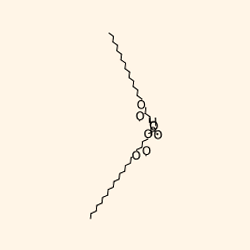 CCCCCCCCCCCCCCCCOCC(CCO[PH](=O)OCCC(COCCCCCCCCCCCCCCCC)OC)OC